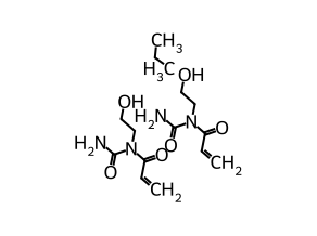 C=CC(=O)N(CCO)C(N)=O.C=CC(=O)N(CCO)C(N)=O.CCC